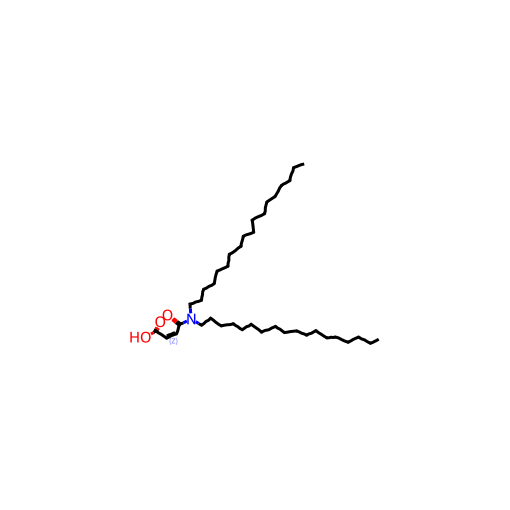 CCCCCCCCCCCCCCCCCCN(CCCCCCCCCCCCCCCCCC)C(=O)/C=C\C(=O)O